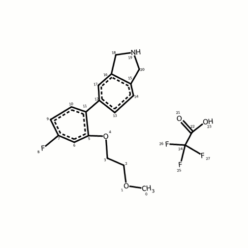 COCCOc1cc(F)ccc1-c1ccc2c(c1)CNC2.O=C(O)C(F)(F)F